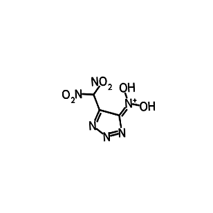 O=[N+]([O-])C(C1=NN=NC1=[N+](O)O)[N+](=O)[O-]